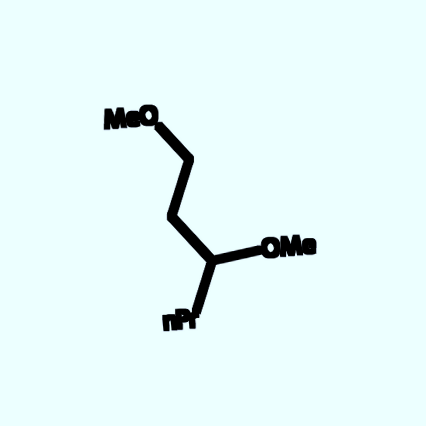 [CH2]CCC(CCOC)OC